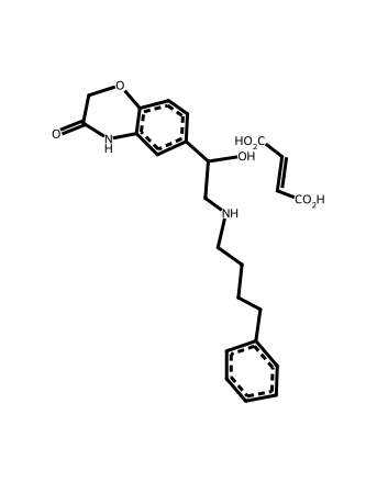 O=C(O)C=CC(=O)O.O=C1COc2ccc(C(O)CNCCCCc3ccccc3)cc2N1